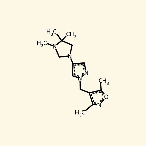 Cc1noc(C)c1Cn1cc(N2CN(C)C(C)(C)C2)cn1